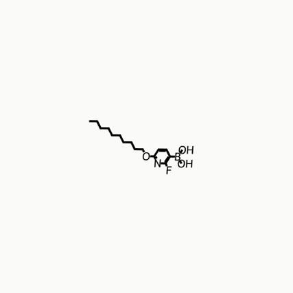 CCCCCCCCCCOc1ccc(B(O)O)c(F)n1